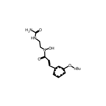 CCCCOc1cccc(C=CC(=O)N(O)CCNC(N)=O)c1